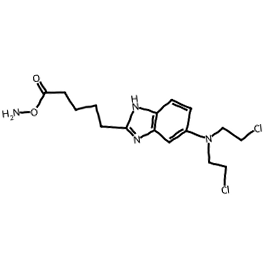 NOC(=O)CCCCc1nc2cc(N(CCCl)CCCl)ccc2[nH]1